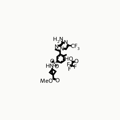 COC(=O)C12CC(NS(=O)(=O)c3ccc(C)c(-c4cnc5c(N)nc(C(F)(F)F)cn45)c3)(C1)C2.O=C(O)C(F)(F)F